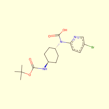 CC(C)(C)OC(=O)N[C@H]1CC[C@H](N(C(=O)O)c2ccc(Br)cn2)CC1